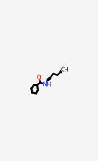 C#CCCC#CNC(=O)c1ccccc1